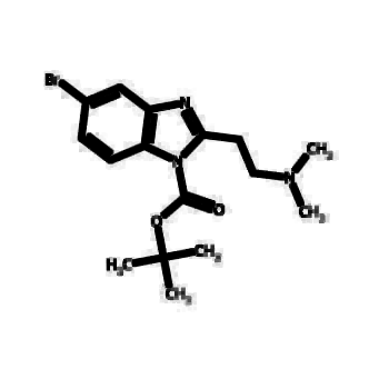 CN(C)CCc1nc2cc(Br)ccc2n1C(=O)OC(C)(C)C